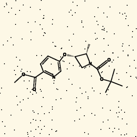 COC(=O)c1ccc(O[C@H]2CN(C(=O)OC(C)(C)C)[C@H]2C)cn1